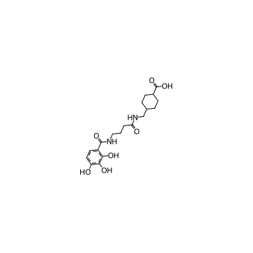 O=C(CCCNC(=O)c1ccc(O)c(O)c1O)NCC1CCC(C(=O)O)CC1